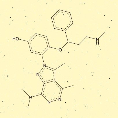 CNCCC(Oc1ccc(O)cc1-n1nc2c(N(C)C)nnc(C)c2c1C)c1ccccc1